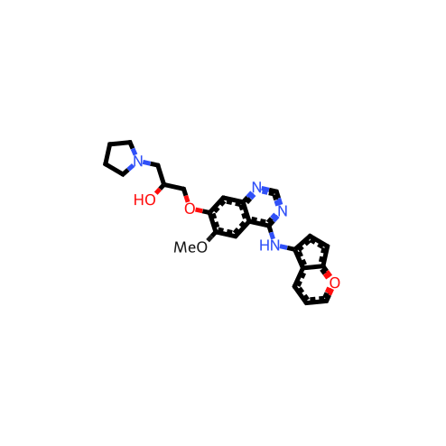 COc1cc2c(Nc3ccc4occcc3-4)ncnc2cc1OCC(O)CN1CCCC1